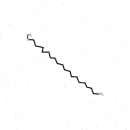 CCCCCCCCCCCCCCCCCCCO[SiH3]